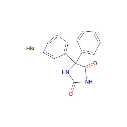 Br.O=C1NC(=O)C(c2ccccc2)(c2ccccc2)N1